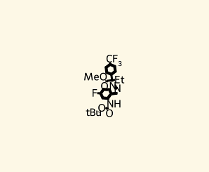 CCC(C(=O)OC)(c1ccc(C(F)(F)F)cc1)n1ncc2c(NC(=O)OC(C)(C)C)cc(F)cc21